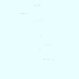 Cc1ccnc(OCc2ccc(CN)cc2)c1